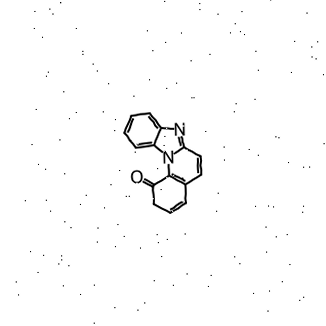 O=C1CC=Cc2ccc3nc4ccccc4n3c21